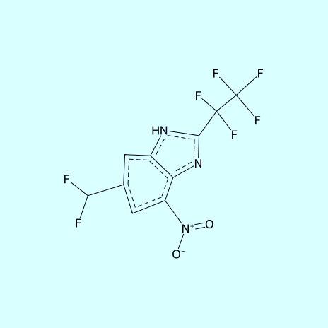 O=[N+]([O-])c1cc(C(F)F)cc2[nH]c(C(F)(F)C(F)(F)F)nc12